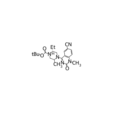 CC[C@@H]1CN(c2nc(=O)n(C)c3ccc(C#N)cc23)C(C)CN1C(=O)OC(C)(C)C